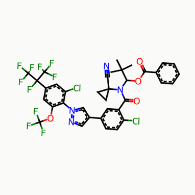 CC(C)(C)C(OC(=O)c1ccccc1)N(C(=O)c1cc(-c2cnn(-c3c(Cl)cc(C(F)(C(F)(F)F)C(F)(F)F)cc3OC(F)(F)F)c2)ccc1Cl)C1(C#N)CC1